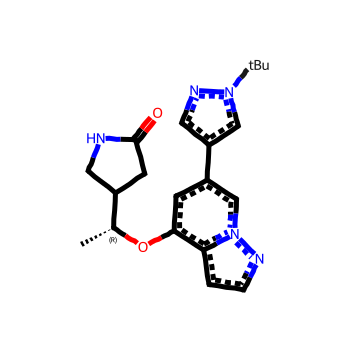 C[C@@H](Oc1cc(-c2cnn(C(C)(C)C)c2)cn2nccc12)C1CNC(=O)C1